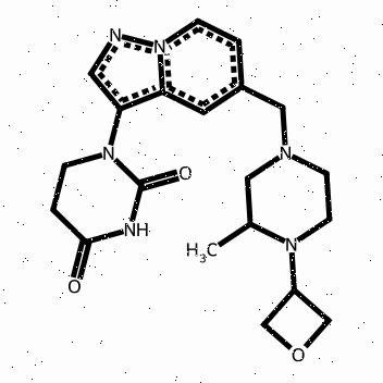 CC1CN(Cc2ccn3ncc(N4CCC(=O)NC4=O)c3c2)CCN1C1COC1